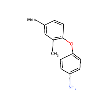 CSc1ccc(Oc2ccc(N)cc2)c(C)c1